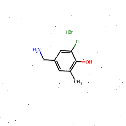 Br.Cc1cc(CN)cc(Cl)c1O